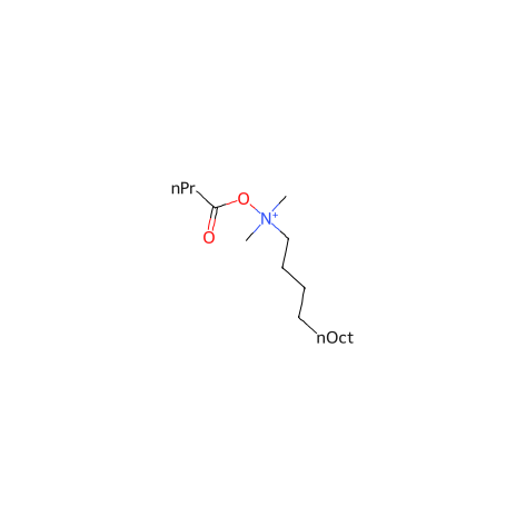 CCCCCCCCCCCC[N+](C)(C)OC(=O)CCC